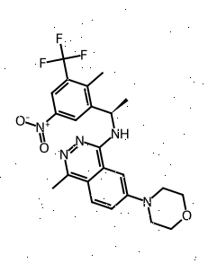 Cc1c([C@@H](C)Nc2nnc(C)c3ccc(N4CCOCC4)cc23)cc([N+](=O)[O-])cc1C(F)(F)F